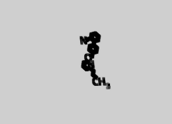 CCCCc1cccc(OCc2ccc(-c3ccccc3C#N)cc2)n1